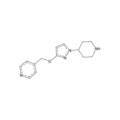 c1cc(COc2ccn(C3CCNCC3)n2)ccn1